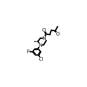 CC(=O)CCC(=O)N1CCN(c2cc(F)cc(Cl)c2)[C@@H](C)C1